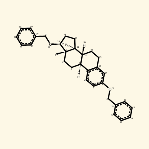 C[C@]12CC[C@@H]3c4ccc(OCc5ccccc5)cc4CC[C@H]3[C@@H]1CC[C@@H]2OCc1ccccc1